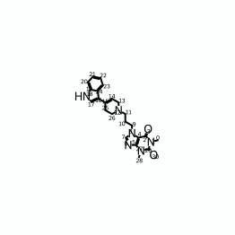 Cn1c(=O)c2c(ncn2CCCN2CC=C(c3c[nH]c4ccccc34)CC2)n(C)c1=O